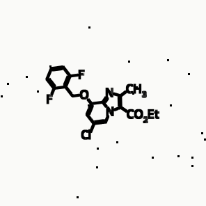 CCOC(=O)c1c(C)nc2c(OCc3c(F)cccc3F)cc(Cl)cn12